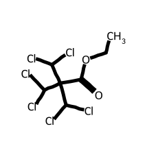 CCOC(=O)C(C(Cl)Cl)(C(Cl)Cl)C(Cl)Cl